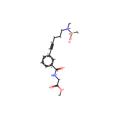 COC(=O)CNC(=O)c1cccc(C#CCCCN(C)[S+](C)[O-])c1